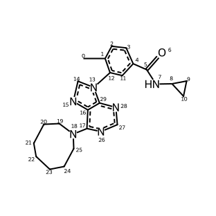 Cc1ccc(C(=O)NC2CC2)cc1-n1cnc2c(N3CCCCCCC3)ncnc21